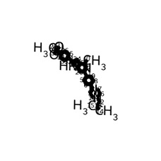 Cc1nc(-c2ccc(N3CCN(CC(C)C)CC3)cc2)cc2[nH]c(-c3ccc(S(C)(=O)=O)cc3)cc12